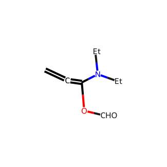 C=C=C(OC=O)N(CC)CC